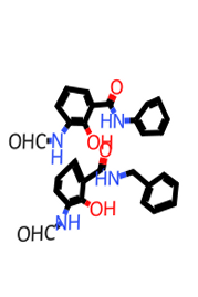 O=CNc1cccc(C(=O)NCc2ccccc2)c1O.O=CNc1cccc(C(=O)Nc2ccccc2)c1O